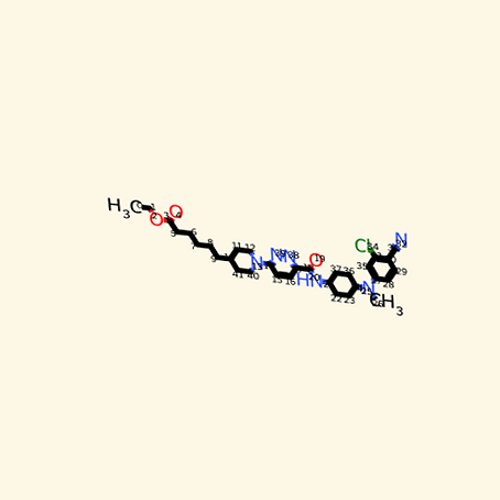 CCOC(=O)CCCCCC1CCN(c2ccc(C(=O)NC3CCC(N(C)c4ccc(C#N)c(Cl)c4)CC3)nn2)CC1